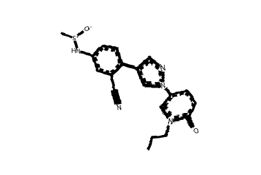 CCCn1cc(-n2cc(-c3ccc(N[S+](C)[O-])cc3C#N)cn2)ccc1=O